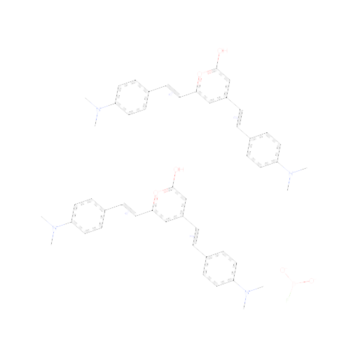 CN(C)c1ccc(/C=C/c2cc(O)[o+]c(/C=C/c3ccc(N(C)C)cc3)c2)cc1.CN(C)c1ccc(/C=C/c2cc(O)[o+]c(/C=C/c3ccc(N(C)C)cc3)c2)cc1.[O-]B([O-])F